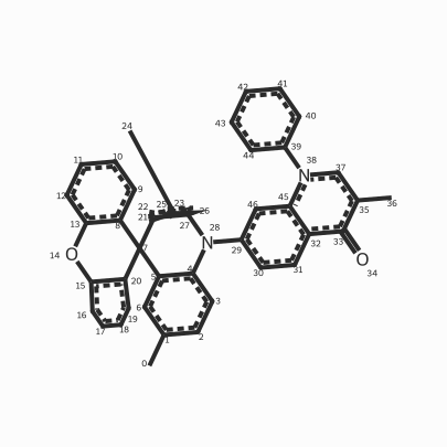 Cc1ccc2c(c1)C1(c3ccccc3Oc3ccccc31)c1cc(C)ccc1N2c1ccc2c(=O)c(C)cn(-c3ccccc3)c2c1